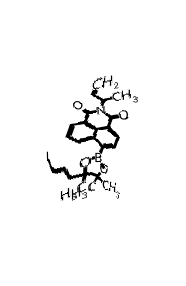 C=CC(C)N1C(=O)c2cccc3c(B4OC(C)(C)C(C)(C/C=C/I)O4)ccc(c23)C1=O